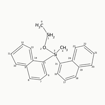 C[SiH2]O[Si](C)(c1cccc2ccccc12)c1cccc2ccccc12